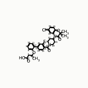 C[C@H](CC(=O)O)Oc1ccccc1-c1ccc(C(=O)N2CCC(N3C(=O)C(C)(C)Oc4ccc(Cl)cc43)CC2)c(F)c1